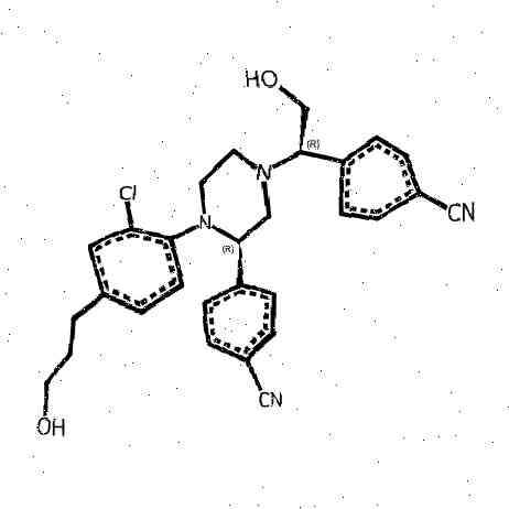 N#Cc1ccc([C@H](CO)N2CCN(c3ccc(CCCO)cc3Cl)[C@H](c3ccc(C#N)cc3)C2)cc1